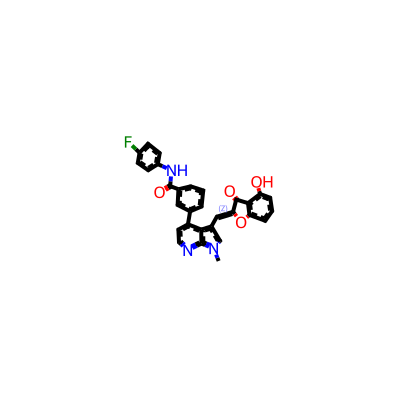 Cn1cc(/C=C2\Oc3cccc(O)c3C2=O)c2c(-c3cccc(C(=O)Nc4ccc(F)cc4)c3)ccnc21